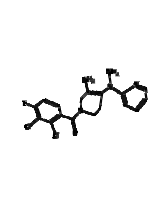 NC1=C(N(N)c2ccccn2)CCN(C(=O)c2ccc(F)c(Cl)c2Cl)C1